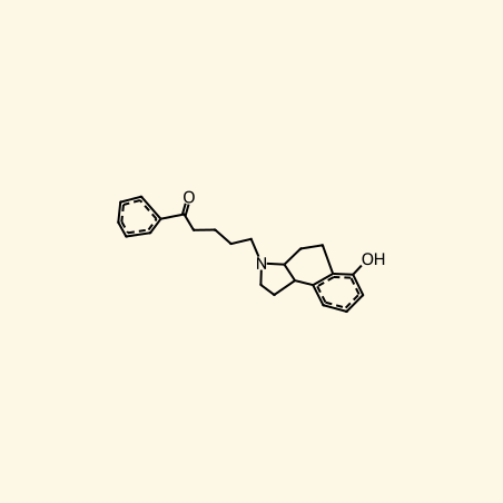 O=C(CCCCN1CCC2c3cccc(O)c3CCC21)c1ccccc1